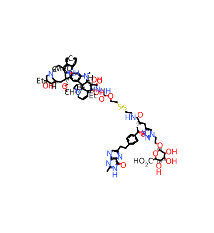 CC[C@]1(O)C[C@H]2CN(CCc3c([nH]c4ccccc34)[C@@](COC=O)(c3cc4c(cc3OC)N(C)[C@H]3[C@@](O)(C(=O)NNC(=O)OCCSSCCNC(=O)[C@@H](CC(=O)c5ccc(CCc6cnc7nc(C)[nH]c(=O)c7n6)cc5)Cc5cn(CCO[C@@H]6OC(C(=O)O)[C@@H](O)[C@H](O)C6O)nn5)[C@H](O)[C@]5(CC)C=CCN6CC[C@]43[C@@H]65)C2)C1